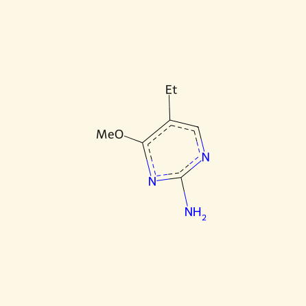 CCc1cnc(N)nc1OC